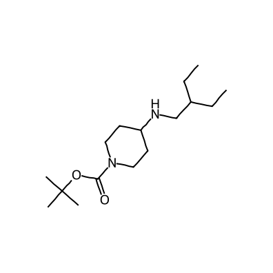 CCC(CC)CNC1CCN(C(=O)OC(C)(C)C)CC1